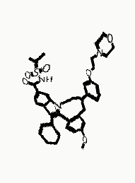 COc1ccc2c(c1)CC(c1cccc(OCCN3CCOCC3)c1)Cn1c-2c(C2CCCCC2)c2ccc(C(=O)NS(=O)(=O)C(C)C)cc21